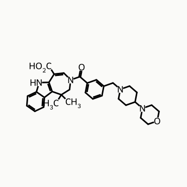 CC1(C)CN(C(=O)c2cccc(CN3CCC(N4CCOCC4)CC3)c2)C=C(C(=O)O)c2[nH]c3ccccc3c21